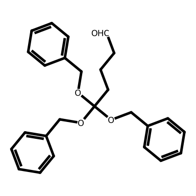 O=CCCCC(OCc1ccccc1)(OCc1ccccc1)OCc1ccccc1